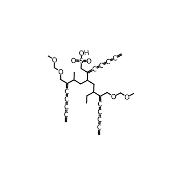 C=C=C=C=C=C(COCOC)C(C)CC(CC(CC)C(=C=C=C=C=C)COCOC)C(=C=C=C=C=C)CS(=O)(=O)O